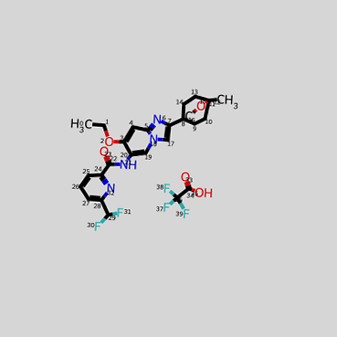 CCOc1cc2nc(C34CCC(C)(CC3)OC4)cn2cc1NC(=O)c1cccc(C(F)F)n1.O=C(O)C(F)(F)F